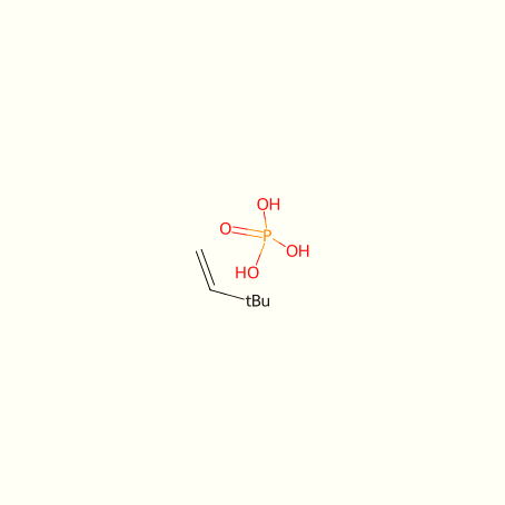 C=CC(C)(C)C.O=P(O)(O)O